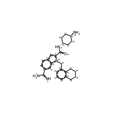 N=C(N)c1ccc2cc(C(=O)N[C@H]3CC[C@H](N)CC3)n(Cc3cccc4c3CCCC4)c2c1